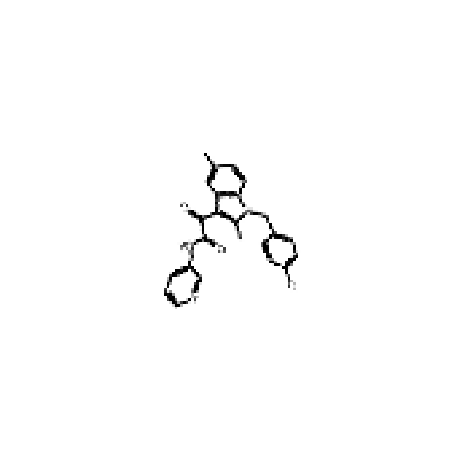 Cc1ccc2c(c1)c(C(=O)C(=O)Nc1cccnc1)c(C)n2Cc1ccc(Cl)cc1